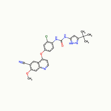 COc1cc2nccc(Oc3ccc(NC(=O)Nc4cc(C(C)(C)C)n[nH]4)c(Cl)c3)c2cc1C#N